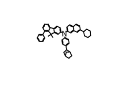 CC1(C)c2cc(N(c3ccc(C4CC5CCC4C5)cc3)c3ccc4ccc(C5CCCCC5)cc4c3)ccc2-c2cccc(-c3ccccc3)c21